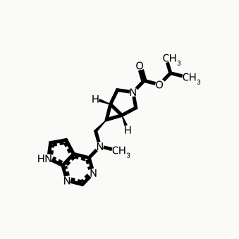 CC(C)OC(=O)N1C[C@@H]2[C@H](C1)[C@H]2CN(C)c1ncnc2[nH]ccc12